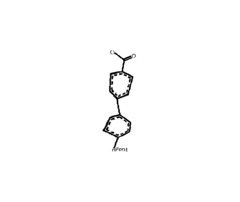 CCCCCc1ccc(-c2ccc(C(=O)Cl)cc2)cc1